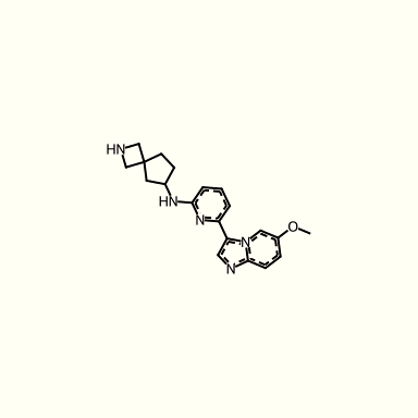 COc1ccc2ncc(-c3cccc(NC4CCC5(CNC5)C4)n3)n2c1